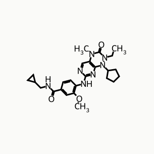 CCN1C(=O)N(C)c2cnc(Nc3ccc(C(=O)NCC4CC4)cc3OC)nc2N1C1CCCC1